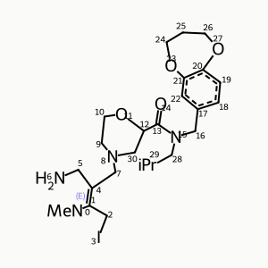 CN/C(CI)=C(\CN)CN1CCOC(C(=O)N(Cc2ccc3c(c2)OCCCO3)CC(C)C)C1